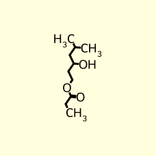 CCC(=O)OCCC(O)CC(C)C